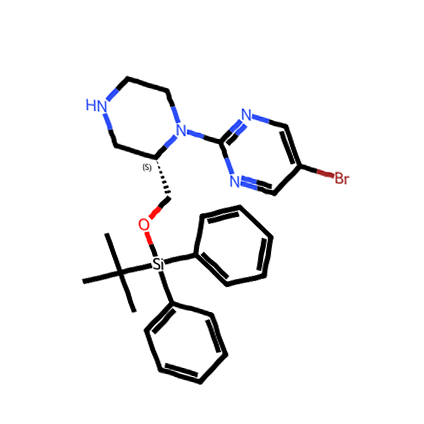 CC(C)(C)[Si](OC[C@@H]1CNCCN1c1ncc(Br)cn1)(c1ccccc1)c1ccccc1